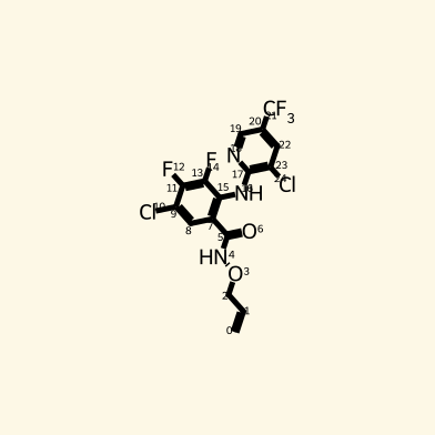 C=CCONC(=O)c1cc(Cl)c(F)c(F)c1Nc1ncc(C(F)(F)F)cc1Cl